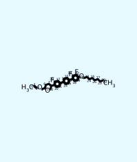 C/C=C/OCC1CCC(c2ccc(-c3ccc(-c4ccc(OCCCCCCCCC)c(F)c4F)cc3)cc2F)CO1